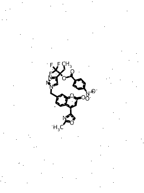 CCC(OC(=O)c1ccc([N+](=O)[O-])cc1)(c1cn(Cc2ccc3c(-c4coc(C)n4)cc(=O)oc3c2)nn1)C(F)(F)F